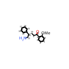 COc1ccccc1C(=O)CC[C@H](CN)c1ccccc1